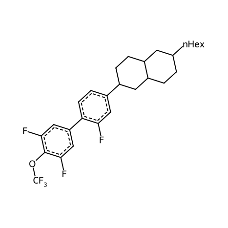 CCCCCCC1CCC2CC(c3ccc(-c4cc(F)c(OC(F)(F)F)c(F)c4)c(F)c3)CCC2C1